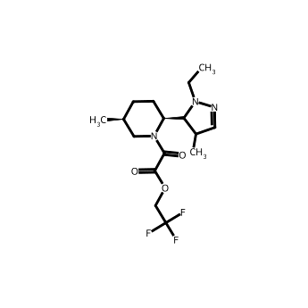 CCN1N=CC(C)C1[C@@H]1CC[C@H](C)CN1C(=O)C(=O)OCC(F)(F)F